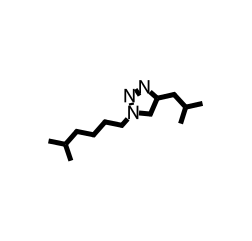 CC(C)CCCCN1CC(CC(C)C)N=N1